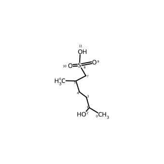 CC(O)CCC(C)CS(=O)(=O)O